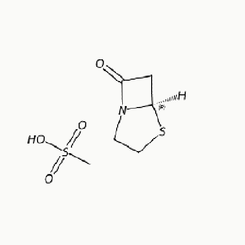 CS(=O)(=O)O.O=C1C[C@H]2SCCN12